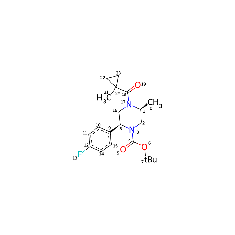 C[C@H]1CN(C(=O)OC(C)(C)C)[C@@H](c2ccc(F)cc2)CN1C(=O)C1(C)CC1